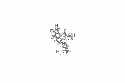 COc1c(N2CCC(C3(N)CC3)C2)ccc2c(=O)c3c(=O)[nH]sc3n(C3CC3)c12.Cl